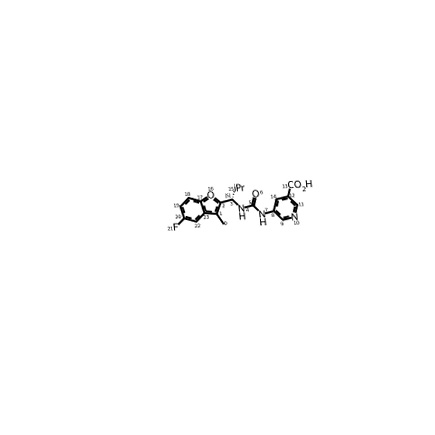 Cc1c([C@@H](NC(=O)Nc2cncc(C(=O)O)c2)C(C)C)oc2ccc(F)cc12